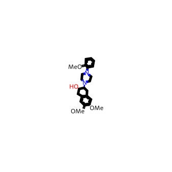 COc1cc2c(cc1OC)C[C@H](N1CCN(c3ccccc3OC)CC1)[C@@H](O)C2